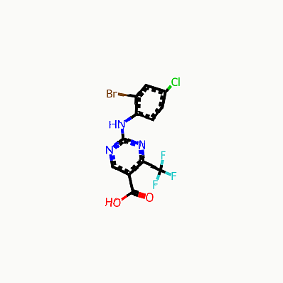 O=C(O)c1cnc(Nc2ccc(Cl)cc2Br)nc1C(F)(F)F